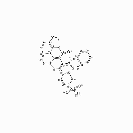 CC1=C2CC(=O)C3=C4C(=CC=C(C=C1)C24)CC(c1ccc(S(C)(=O)=O)cc1)=C3c1ccc2ccccc2c1